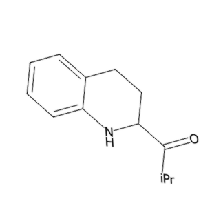 CC(C)C(=O)C1CCc2ccccc2N1